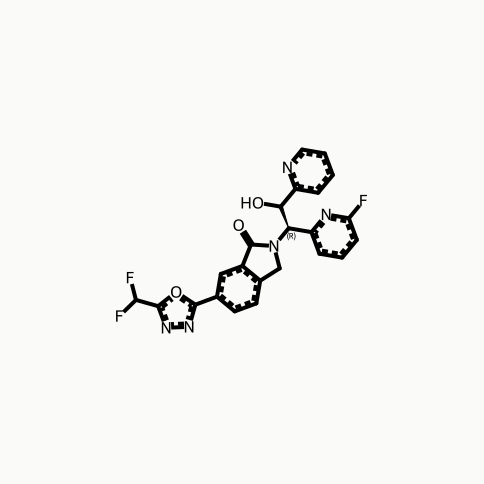 O=C1c2cc(-c3nnc(C(F)F)o3)ccc2CN1[C@H](c1cccc(F)n1)C(O)c1ccccn1